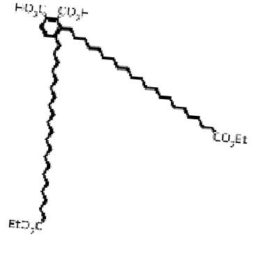 CCOC(=O)CCCCCCCCCCCCCCCCCCCCCc1ccc(C(=O)O)c(C(=O)O)c1CCCCCCCCCCCCCCCCCCCCCC(=O)OCC